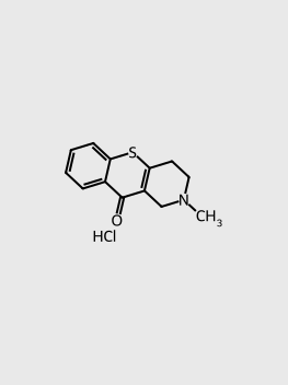 CN1CCc2sc3ccccc3c(=O)c2C1.Cl